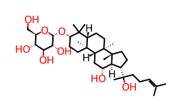 CC(C)=CCCC(C)(O)[C@H]1CC[C@]2(C)[C@@H]1[C@H](O)C[C@@H]1[C@@]3(C)CC[C@H](O[C@H]4O[C@H](CO)[C@@H](O)[C@H](O)[C@H]4O)C(C)(C)[C@@H]3CC[C@]12C